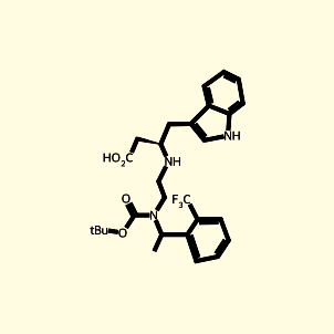 CC(c1ccccc1C(F)(F)F)N(CCN[C@@H](CC(=O)O)Cc1c[nH]c2ccccc12)C(=O)OC(C)(C)C